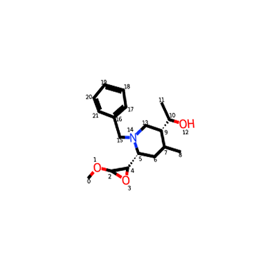 COC1OC1[C@H]1CC(C)[C@@H](C(C)O)CN1Cc1ccccc1